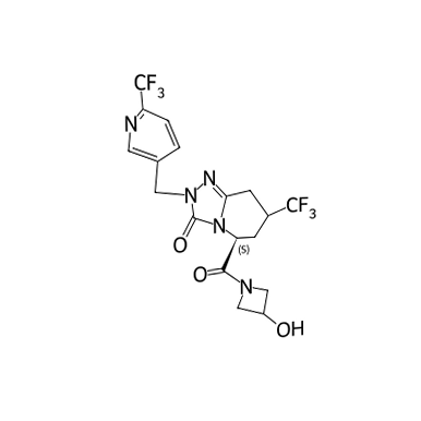 O=C([C@@H]1CC(C(F)(F)F)Cc2nn(Cc3ccc(C(F)(F)F)nc3)c(=O)n21)N1CC(O)C1